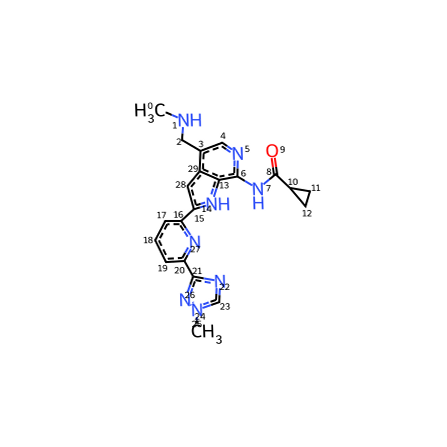 CNCc1cnc(NC(=O)C2CC2)c2[nH]c(-c3cccc(-c4ncn(C)n4)n3)cc12